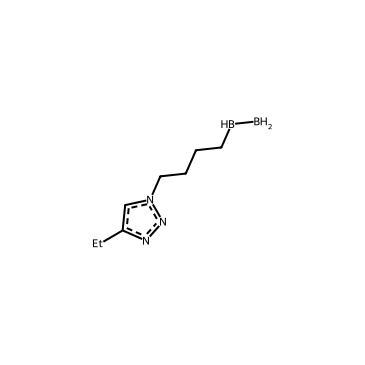 BBCCCCn1cc(CC)nn1